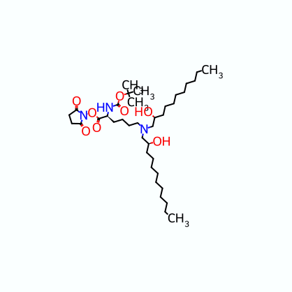 CCCCCCCCCC[C@H](O)CN(CCCC[C@H](NC(=O)OC(C)(C)C)C(=O)ON1C(=O)CCC1=O)C[C@@H](O)CCCCCCCCC